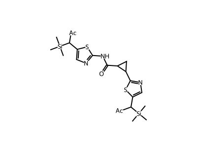 CC(=O)C(c1cnc(NC(=O)C2CC2c2ncc(C(C(C)=O)[Si](C)(C)C)s2)s1)[Si](C)(C)C